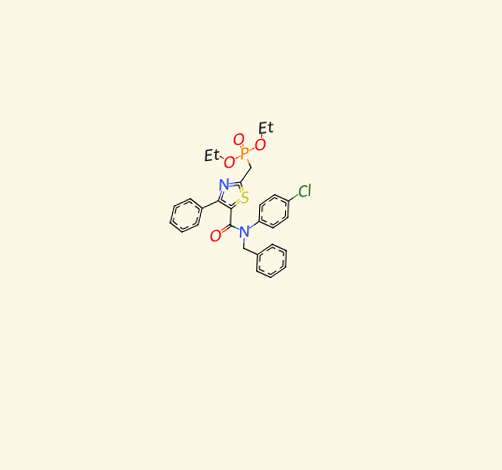 CCOP(=O)(Cc1nc(-c2ccccc2)c(C(=O)N(Cc2ccccc2)c2ccc(Cl)cc2)s1)OCC